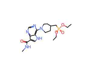 CCOP(=O)(CC1CCN(c2ncnc3c(C(=O)NC)c[nH]c23)CC1)OCC